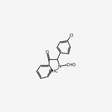 O=CN(C=O)C(C(=O)c1ccccc1)c1ccc(Cl)cc1